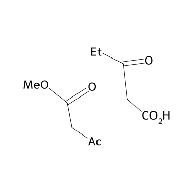 CCC(=O)CC(=O)O.COC(=O)CC(C)=O